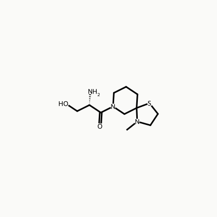 CN1CCSC12CCCN(C(=O)[C@@H](N)CO)C2